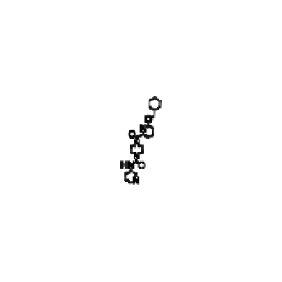 O=C(Nc1cccnc1)N1CCN(C(=O)c2cccc(OCC3CCCCC3)n2)CC1